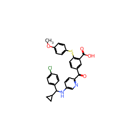 COc1ccc(Sc2ccc(C(=O)c3ccc(NC(c4ccc(Cl)cc4)C4CC4)cn3)cc2C(=O)O)cc1